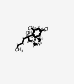 CCCC[C@@](O)(Cn1cncn1)c1ccc(Cl)cc1Cl